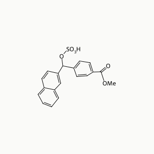 COC(=O)c1ccc(C(OS(=O)(=O)O)c2ccc3ccccc3c2)cc1